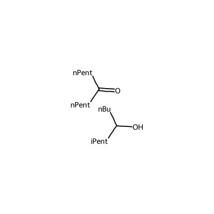 CCCCC(O)C(C)CCC.CCCCCC(=O)CCCCC